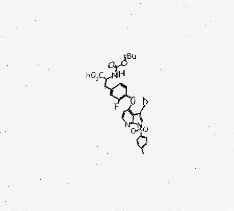 Cc1ccc(S(=O)(=O)n2cc(C3CC3)c3c(Oc4ccc(C[C@H](NC(=O)OC(C)(C)C)C(=O)O)cc4F)ccnc32)cc1